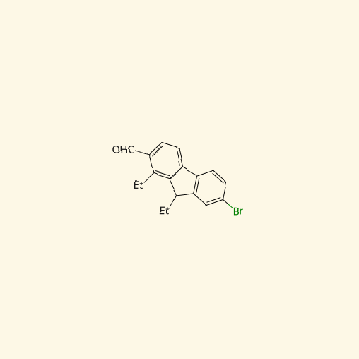 CCc1c(C=O)ccc2c1C(CC)c1cc(Br)ccc1-2